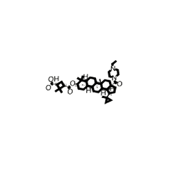 CCN1CCN(C(=O)[C@]23CC[C@@H](C4(C)CC4)[C@@H]2[C@H]2CC[C@@H]4[C@@]5(C)CC[C@H](OC(=O)[C@H]6C[C@@H](C(=O)O)C6(C)C)C(C)(C)[C@@H]5CC[C@@]4(C)[C@]2(C)CC3)CC1